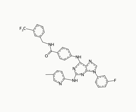 Cc1ccc(Nc2nc(Nc3ccc(C(=O)NCc4cccc(C(F)(F)F)c4)cc3)c3ncn(-c4cccc(F)c4)c3n2)nc1